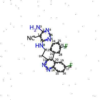 N#Cc1c(N)ncnc1NCCc1nnc2ccc(F)cc2c1-c1cccc(F)c1